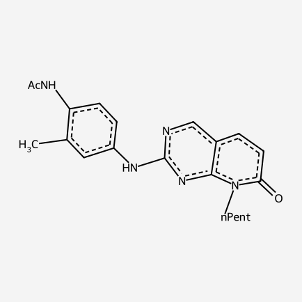 CCCCCn1c(=O)ccc2cnc(Nc3ccc(NC(C)=O)c(C)c3)nc21